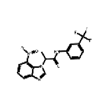 CC(C(=O)Nc1cccc(C(F)(F)F)c1)n1cnc2cccc([N+](=O)[O-])c21